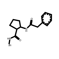 CC(C)NC(=O)C1CCCC1NC(=O)Cc1ccccc1